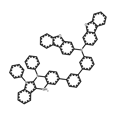 c1ccc(N2c3ccc(-c4cccc(-c5cccc(N(c6ccc7c(c6)oc6ccccc67)c6ccc7c(c6)oc6ccccc67)c5)c4)cc3[SiH2]c3c2n(-c2ccccc2)c2ccccc32)cc1